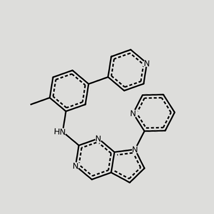 Cc1ccc(-c2ccncc2)cc1Nc1ncc2ccn(-c3ccccn3)c2n1